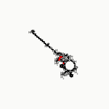 CCCC[C@H](NC(=O)[C@H](CO)NC(=O)[C@H](Cc1c[nH]cn1)NC(=O)[C@H](CCC(N)=O)NC(=O)[C@H](CO)NC(=O)CNC(=O)COCCOCCNC(=O)CCCCCCCCCCCCCCCc1nnn[nH]1)C(=O)N[C@H]1CCC(=O)NCCCC[C@@H](C(N)=O)NC(=O)[C@H](Cc2c[nH]c3ccccc23)NC(=O)[C@H](CCCNC(=N)N)NC(=O)[C@@H](Cc2ccccc2)NC(=O)[C@@H]2C[C@@H](O)CN2C1=O